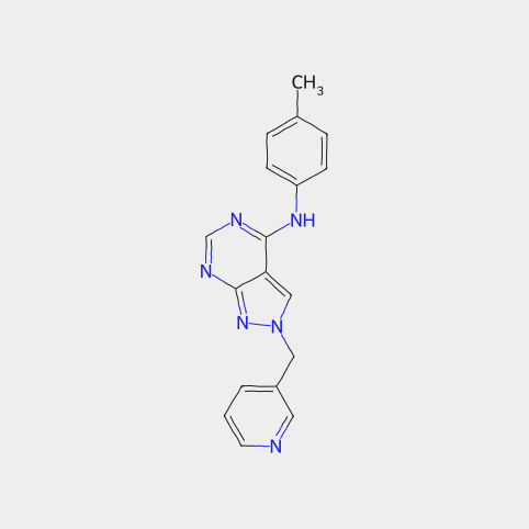 Cc1ccc(Nc2ncnc3nn(Cc4cccnc4)cc23)cc1